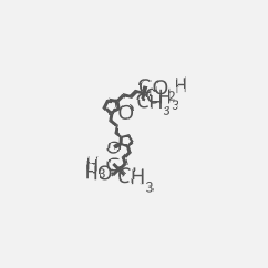 CC(C)(CO)CCCC1CCC(CCCC2CCC(CCCC(C)(C)C(=O)O)C2=O)C1=O